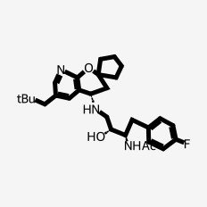 CC(=O)N[C@@H](Cc1ccc(F)cc1)[C@H](O)CN[C@H]1CC2(CCCC2)Oc2ncc(CC(C)(C)C)cc21